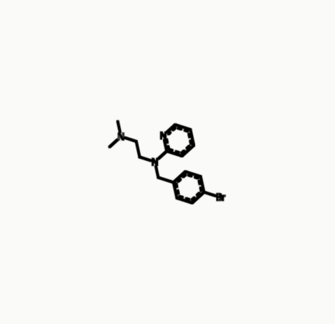 CN(C)CCN(Cc1ccc(Br)cc1)c1ccccn1